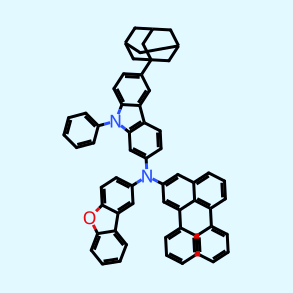 c1ccc(-c2cccc3cc(N(c4ccc5oc6ccccc6c5c4)c4ccc5c6cc(C78CC9CC(CC(C9)C7)C8)ccc6n(-c6ccccc6)c5c4)cc(-c4ccccc4)c23)cc1